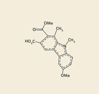 COC(=O)c1c(C(=O)O)cc2c3cc(OC)ccc3n(C)c2c1C